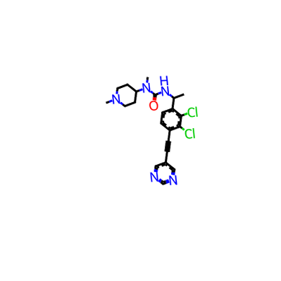 CC(NC(=O)N(C)C1CCN(C)CC1)c1ccc(C#Cc2cncnc2)c(Cl)c1Cl